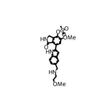 COCCNCc1ccc2[nH]c(-c3cc(OC)c(OS(C)(=O)=O)c4c3C(=O)NC4)cc2c1